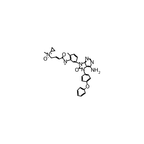 Cc1ccc(-n2c(=O)n(-c3ccc(Oc4ccccc4)cc3)c3c(N)ncnc32)cc1N(C)C(=O)/C=C/C[N+](C)([O-])C1CC1